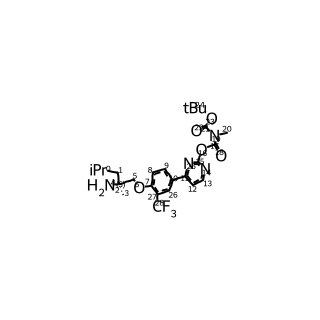 CC(C)C[C@](C)(N)COc1ccc(-c2ccnc(OC(=O)N(C)C(=O)OC(C)(C)C)n2)cc1C(F)(F)F